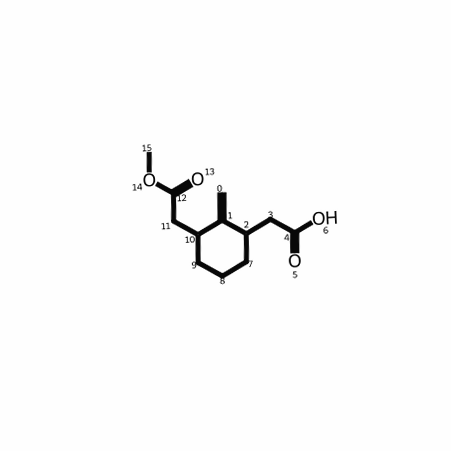 C=C1C(CC(=O)O)CCCC1CC(=O)OC